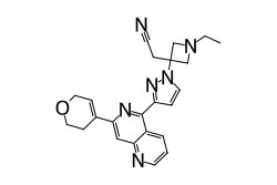 CCN1CC(CC#N)(n2ccc(-c3nc(C4=CCOCC4)cc4ncccc34)n2)C1